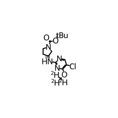 [2H]C([2H])([2H])Oc1nc(N[C@@H]2CCN(C(=O)OC(C)(C)C)C2)ncc1Cl